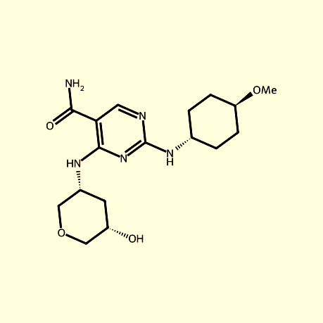 CO[C@H]1CC[C@H](Nc2ncc(C(N)=O)c(N[C@H]3COC[C@@H](O)C3)n2)CC1